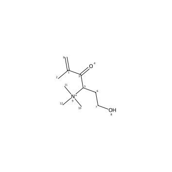 C=C(C)C(=O)C(CCO)[N+](C)(C)C